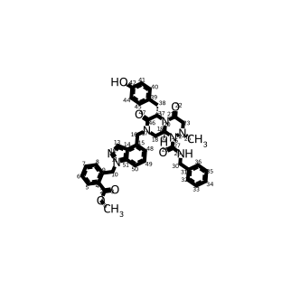 COC(=O)c1ccccc1Cn1ncc2c(CN3C[C@H]4N(C(=O)CN(C)N4C(=O)NCc4ccccc4)[C@@H](Cc4ccc(O)cc4)C3=O)cccc21